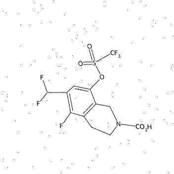 O=C(O)N1CCc2c(F)c(C(F)F)cc(OS(=O)(=O)C(F)(F)F)c2C1